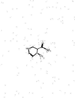 CN1CCNC[C@H]1C(N)=O